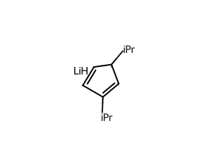 CC(C)[C]1C=CC(C(C)C)=C1.[LiH]